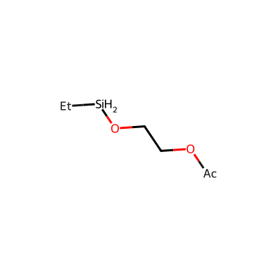 CC[SiH2]OCCOC(C)=O